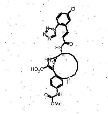 COC(=O)Nc1ccc2c(c1)NCCCCC[C@H](NC(=O)/C=C/c1cc(Cl)ccc1-n1cnnn1)c1nc-2c(C(=O)O)[nH]1